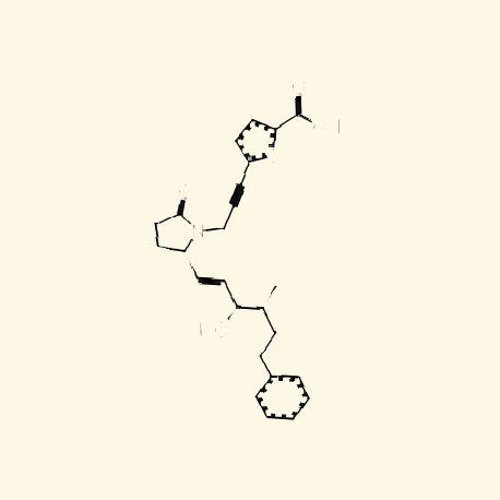 C[C@@H](CCc1ccccc1)[C@@H](O)C=C[C@H]1CCC(=O)N1CC#Cc1ccc(C(=O)O)s1